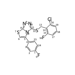 Fc1ccc(-c2csc3nnc(SCc4c(F)cccc4Cl)n23)cc1